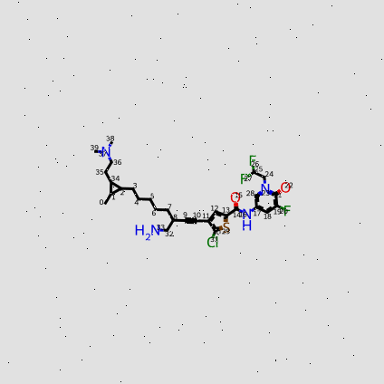 CC1C(CCCCCC(C#Cc2cc(C(=O)Nc3cc(F)c(=O)n(CC(F)F)c3)sc2Cl)CN)C1CCN(C)C